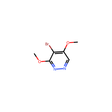 COc1cnnc(OC)c1Br